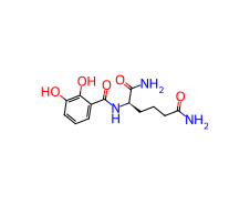 NC(=O)CCC[C@@H](NC(=O)c1cccc(O)c1O)C(N)=O